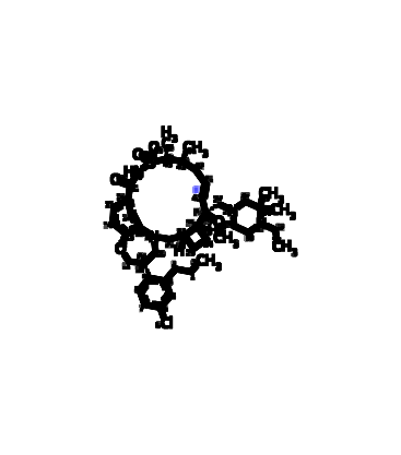 CCCc1cc(Cl)ccc1[C@@H]1COc2ccc3cc2N(C1)C[C@@H]1CC[C@H]1[C@](CN1CCN(CC)C(C)(C)C1)(OC)/C=C/C[C@H](C)[C@@H](C)S(=O)(=O)NC3=O